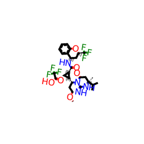 COCCC([C@@H]1C[C@H]1C(=O)N[C@H]1C[C@H](C(F)(F)F)Oc2ccccc21)N1C(=N)N[C@](C)(C(C)C)CC1=O.O=C(O)C(F)(F)F